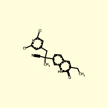 CCc1cc2ccc(C(C)(C#N)Cc3cc(Cl)nc(Cl)c3)cc2[nH]c1=O